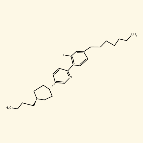 CCCCCCCc1ccc(-c2ccc([C@H]3CC[C@H](CCCC)CC3)cn2)c(F)c1